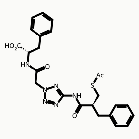 CC(=O)SC[C@@H](Cc1ccccc1)C(=O)Nc1nnn(CC(=O)N[C@@H](Cc2ccccc2)C(=O)O)n1